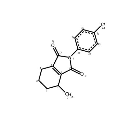 CC1CCCC2=C1C(=O)N(c1ccc(Cl)cc1)C2=O